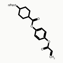 C=CC(=O)Oc1ccc(OC(=O)C2CCC(CCCCC)CC2)cc1